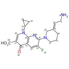 NC/C=C1\CCCN(c2nc3c(cc2F)c(=O)c(C(=O)O)cn3C2CC2)C1